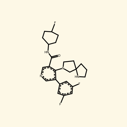 O=C(NC1CCC(F)CC1)c1cncc(-c2cc(F)cc(F)c2)c1N1CCC2(CCCN2)C1